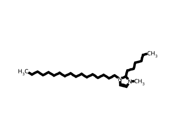 CCCCCCCCCCCCCCCCCN1C=CN(C)C1CCCCCC